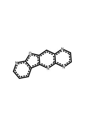 c1cnc2oc3cc4nccnc4nc3c2c1